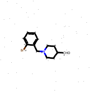 O=CC1CCN(Cc2ccccc2Br)CC1